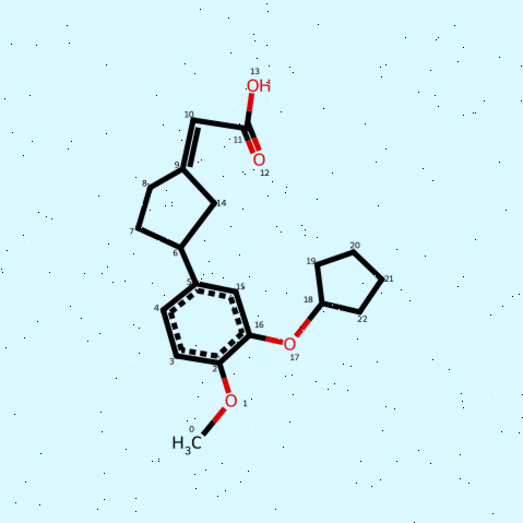 COc1ccc(C2CCC(=CC(=O)O)C2)cc1OC1CCCC1